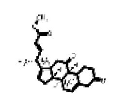 COC(=O)/C=C/[C@@H](C)C1=CC[C@H]2[C@@H]3CC=C4CC(=O)CC[C@]4(C)[C@H]3C(=O)C[C@]12C